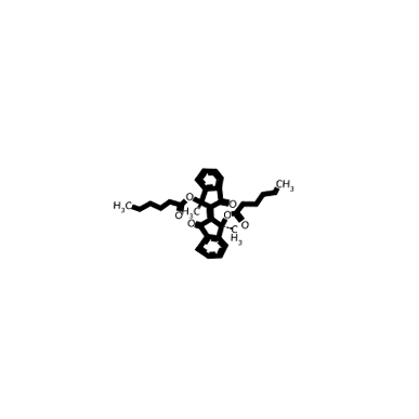 CCCCCC(=O)O[C@@]1(C)/C(=C2\C(=O)c3ccccc3[C@]2(C)OC(=O)CCCCC)C(=O)c2ccccc21